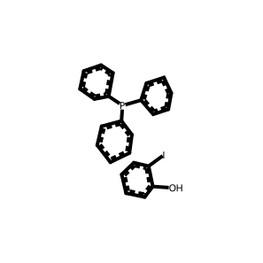 Oc1ccccc1I.c1ccc(P(c2ccccc2)c2ccccc2)cc1